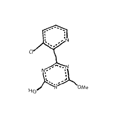 COc1nc(O)nc(-c2ncccc2Cl)n1